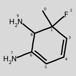 CC1(F)C=CC=C(N)C1N